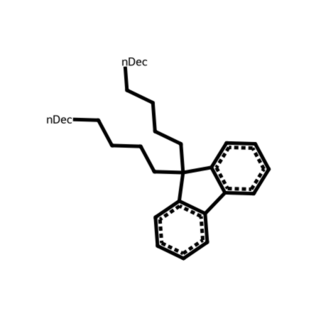 CCCCCCCCCCCCCCC1(CCCCCCCCCCCCCC)c2ccccc2-c2ccccc21